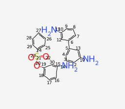 Nc1cccc(-c2cccc(N)c2)c1.Nc1cccc(OS(=O)(=O)c2ccccc2)c1